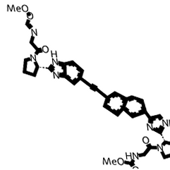 COO/C=N/CC(=O)N1CCC[C@H]1c1nc2cc(C#Cc3ccc4cc(-c5c[nH]c([C@@H]6CCCN6C(=O)CNC(=O)OC)n5)ccc4c3)ccc2[nH]1